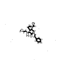 COCCNCC(=O)N(CCc1ccccc1)CC1CCCN1C=O